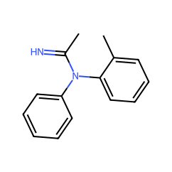 CC(=N)N(c1ccccc1)c1ccccc1C